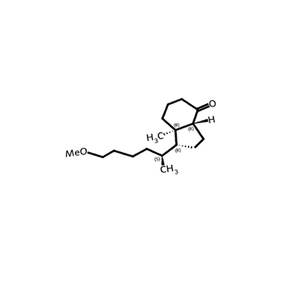 COCCCC[C@H](C)[C@H]1CC[C@H]2C(=O)CCC[C@]12C